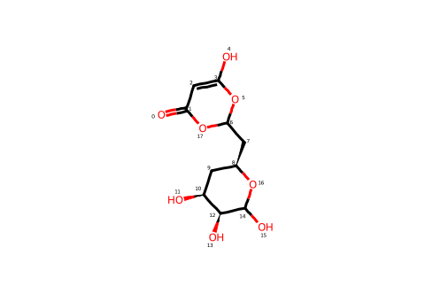 O=C1C=C(O)OC(C[C@@H]2C[C@H](O)[C@H](O)C(O)O2)O1